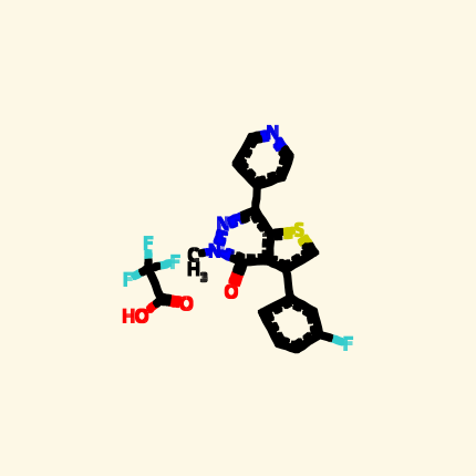 Cn1nc(-c2ccncc2)c2scc(-c3cccc(F)c3)c2c1=O.O=C(O)C(F)(F)F